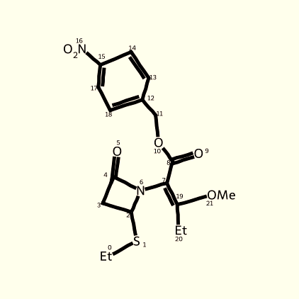 CCSC1CC(=O)N1C(C(=O)OCc1ccc([N+](=O)[O-])cc1)=C(CC)OC